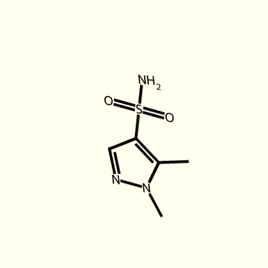 Cc1c(S(N)(=O)=O)cnn1C